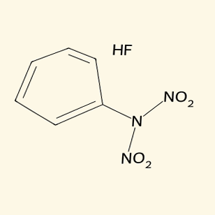 F.O=[N+]([O-])N(c1ccccc1)[N+](=O)[O-]